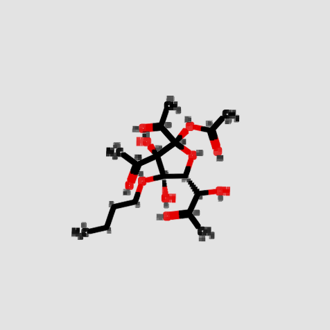 CCCCO[C@]1(O)[C@@H](C(O)C(C)=O)O[C@@](OC(C)=O)(C(C)=O)[C@@]1(O)C(C)=O